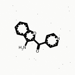 Nc1c(C(=O)c2ccncc2)oc2ccccc12